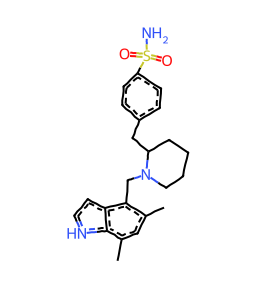 Cc1cc(C)c2[nH]ccc2c1CN1CCCCC1Cc1ccc(S(N)(=O)=O)cc1